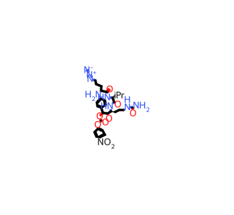 CC(C)[C@H](NC(=O)CCCCN=[N+]=[N-])C(=O)N[C@@H](CCCNC(N)=O)C(=O)C(OC(=O)Oc1ccc([N+](=O)[O-])cc1)c1ccc(N)cc1